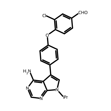 CC(C)n1cc(-c2ccc(Oc3ccc(C=O)cc3Cl)cc2)c2c(N)ncnc21